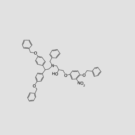 O=[N+]([O-])c1cc(OCC(O)CN(Cc2ccccc2)CC(c2ccc(OCc3ccccc3)cc2)c2ccc(OCc3ccccc3)cc2)ccc1OCc1ccccc1